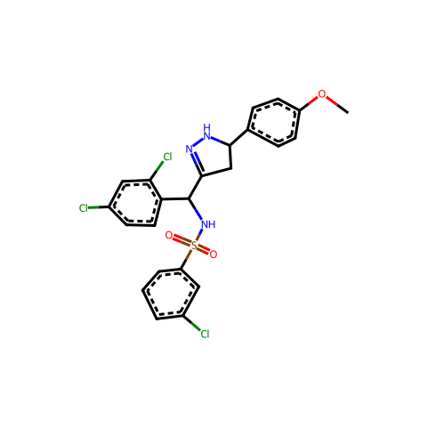 COc1ccc(C2CC(C(NS(=O)(=O)c3cccc(Cl)c3)c3ccc(Cl)cc3Cl)=NN2)cc1